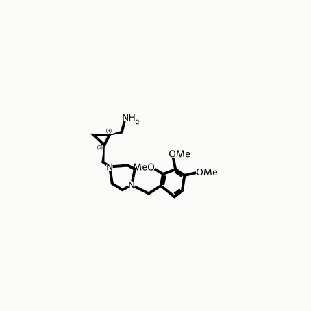 COc1ccc(CN2CCN(C[C@H]3C[C@H]3CN)CC2)c(OC)c1OC